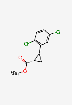 CC(C)(C)OC(=O)[C@H]1C[C@@H]1c1cc(Cl)ccc1Cl